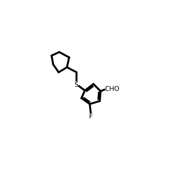 O=Cc1cc(F)cc(SCC2CCCCC2)c1